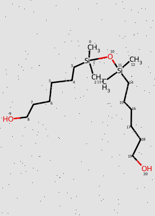 C[Si](C)(CCCCCCO)O[Si](C)(C)CCCCCCO